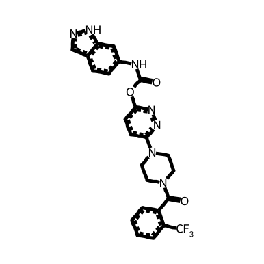 O=C(Nc1ccc2cn[nH]c2c1)Oc1ccc(N2CCN(C(=O)c3ccccc3C(F)(F)F)CC2)nn1